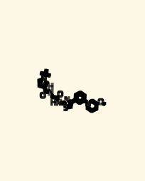 CO[C@H]1CCCN(c2cccc(-c3csc(NC(=O)CNC(=O)c4ccn(C(C)(C)C)c4)n3)c2)C1